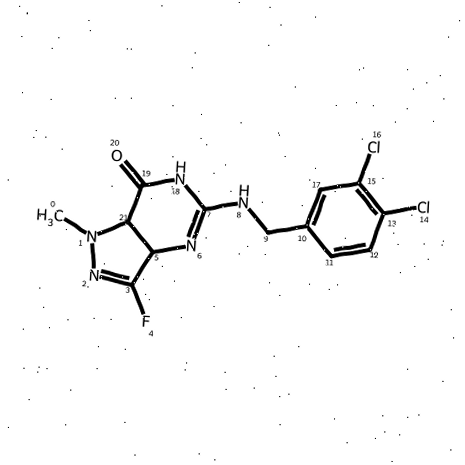 CN1N=C(F)C2N=C(NCc3ccc(Cl)c(Cl)c3)NC(=O)C21